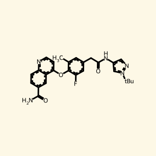 Cc1cc(CC(=O)Nc2cnn(C(C)(C)C)c2)cc(F)c1Oc1ccnc2ccc(C(N)=O)cc12